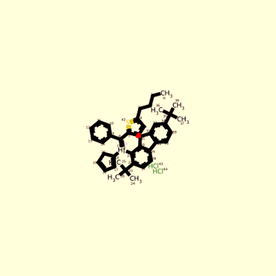 CCCCc1ccc(/[C](c2ccccc2)=[Hf](/[C]2=CC=CC2)[c]2c(C(C)(C)C)ccc3c2Cc2cc(C(C)(C)C)ccc2-3)s1.Cl.Cl